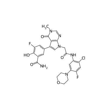 Cn1cnc2c(c(-c3cc(F)c(O)c(C(N)=O)c3)cn2CC(=O)Nc2cc(N3CCOCC3)c(F)cc2Cl)c1=O